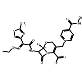 CCON=C(C(=O)NC1C(=O)N2C(C(=O)[O-])=C(C[n+]3ccc(C(=O)NO)cc3)CS[C@@H]12)c1nsc(N)n1